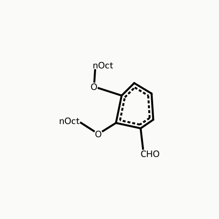 CCCCCCCCOc1cccc(C=O)c1OCCCCCCCC